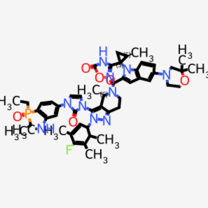 CCP(=O)(CC)c1ccc(-n2ccn(-c3c4c(nn3C3C=C(C)C(F)=C(C)C3C)CCN(C(=O)c3cc5cc(N6CCOC(C)(C)C6)ccc5n3[C@@]3(c5noc(=O)[nH]5)C[C@@H]3C)[C@H]4C)c2=O)cc1NC